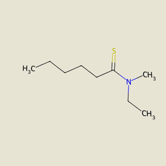 CCCCCC(=S)N(C)CC